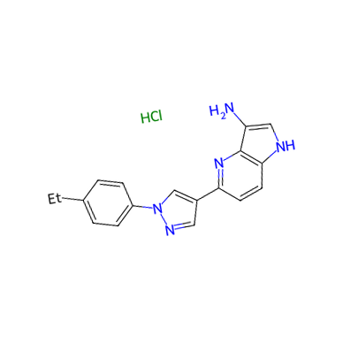 CCc1ccc(-n2cc(-c3ccc4[nH]cc(N)c4n3)cn2)cc1.Cl